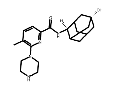 Cc1ccc(C(=O)N[C@H]2C3CC4CC2C[C@](O)(C4)C3)nc1N1CCNCC1